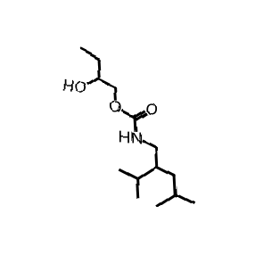 CCC(O)COC(=O)NCC(CC(C)C)C(C)C